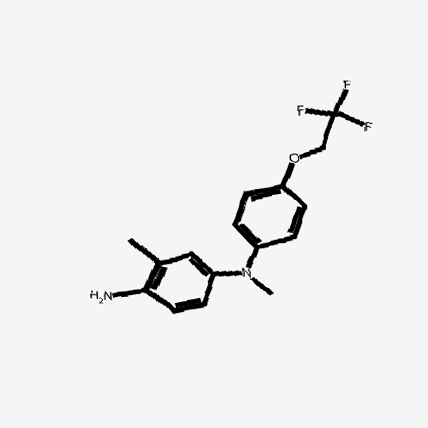 Cc1cc(N(C)c2ccc(OCC(F)(F)F)cc2)ccc1N